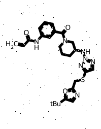 C=CC(=O)Nc1cccc(C(=O)N2CCCC(Nn3ncc(SCc4ncc(C(C)(C)C)o4)n3)C2)c1